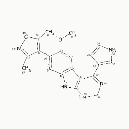 COc1cc2c3c([nH]c2cc1-c1c(C)noc1C)NCN=C3c1cc[nH]c1